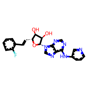 O[C@@H]1[C@H](O)[C@@H](C=Cc2ccccc2F)O[C@H]1n1cnc2c(Nc3cccnc3)ncnc21